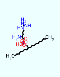 CCCCCCCCCCC(CCCCCCCC)COP(=O)(O)OC(=O)[C@@H](N)CCCNC(=N)N